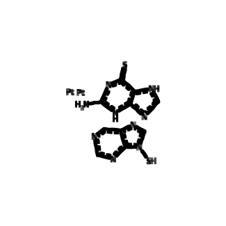 Nc1nc(=S)c2[nH]cnc2[nH]1.Sn1cnc2cncnc21.[Pt].[Pt]